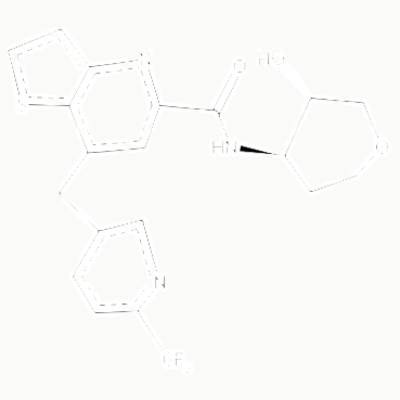 O=C(N[C@@H]1CCOC[C@H]1O)c1cc(Cc2ccc(C(F)(F)F)nc2)c2sccc2n1